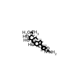 CN(C)[C@H]1C[C@@]23CC[C@]4(O2)C2CC=C(c5ccc6nc(N)oc6c5)[C@@]2(C)CCC4(O)CC3[C@@H](O)[C@@H]1O